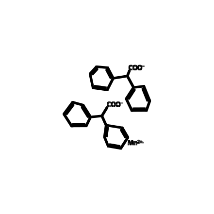 O=C([O-])C(c1ccccc1)c1ccccc1.O=C([O-])C(c1ccccc1)c1ccccc1.[Mn+2]